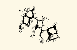 CCC(c1cc(Cl)cc2c1OCC2)N1C[C@H](C)N(c2cc(=O)n(C)c3ccc(C#N)nc23)C[C@H]1C